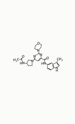 CC(=O)NC1CCN(c2cc(C(=O)Nc3ccc4[nH]cc(C)c4c3)nc(N3CCOCC3)n2)C1